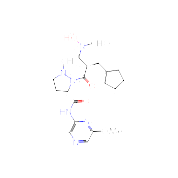 COc1cncc(NC(=O)[C@@H]2CCN(C)N2C(=O)[C@H](CC2CCCC2)CN(O)C=O)n1